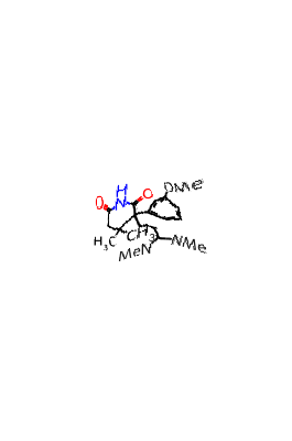 CNC(CCC1(c2cccc(OC)c2)C(=O)NC(=O)CC1(C)C)NC